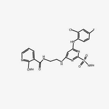 CNS(=O)(=O)c1nc(NCCNC(=O)c2cccnc2OC)cc(Nc2ccc(F)cc2Cl)n1